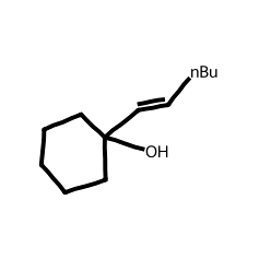 CCCCC=CC1(O)CCCCC1